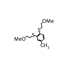 COCCSc1ccc(C)cc1SCCOC